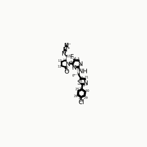 C[C@H](Nc1ncc(F)c(N2C(=O)CC[C@@H]2CN=[N+]=[N-])n1)c1cnc(-c2ccc(Cl)cc2)s1